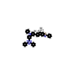 CC1(C)c2cc(-c3ccc4c(c3)c3cc(-c5nc(-c6ccccc6)nc(-c6ccccc6)n5)ccc3n4-c3ccccc3)ccc2-c2cc3nc(-c4ccccc4)sc3cc21